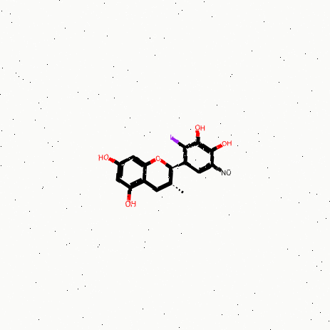 C[C@@H]1Cc2c(O)cc(O)cc2O[C@H]1C1C=C(N=O)C(O)=C(O)C1I